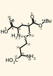 CC(C)(C)OC(=O)C(CC(N)C(O)=[Se])SSCCC(N)C(=O)O